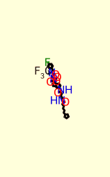 C[C@H](N(Cc1ccc(F)cc1)C(=O)CN1C(=O)OC2(CCc3cc(NC(=O)CCCNC(=O)CCCCCC4CCCC4)ccc32)C1=O)C(F)(F)F